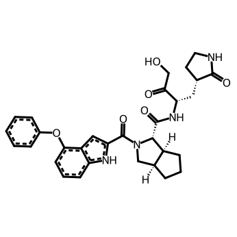 O=C1NCC[C@H]1C[C@H](NC(=O)[C@@H]1[C@H]2CCC[C@H]2CN1C(=O)c1cc2c(Oc3ccccc3)cccc2[nH]1)C(=O)CO